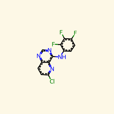 Fc1ccc(Nc2ncnc3ccc(Cl)nc23)c(F)c1F